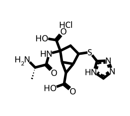 C[C@H](N)C(=O)NC1(C(=O)O)CC(Sc2nnc[nH]2)C2C(C(=O)O)C21.Cl